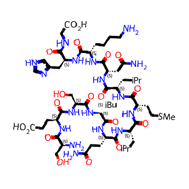 CC[C@H](C)[C@H](NC(=O)[C@H](CO)NC(=O)[C@H](CCC(=O)O)NC(=O)[C@@H](N)CO)C(=O)N[C@@H](CCC(N)=O)C(=O)N[C@@H](CC(C)C)C(=O)N[C@@H](CCSC)C(=O)N[C@@H](CC(C)C)C(=O)N[C@@H](CC(N)=O)C(=O)N[C@@H](CCCCN)C(=O)N[C@@H](Cc1c[nH]cn1)C(=O)NCC(=O)O